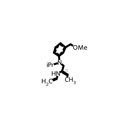 C=CN/C(=C\C)CN(c1cccc(COC)c1)C(C)C